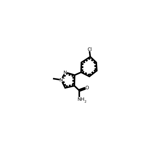 Cn1cc(C(N)=O)c(-c2cccc(Cl)c2)n1